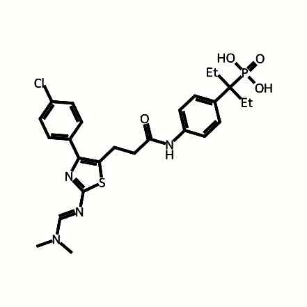 CCC(CC)(c1ccc(NC(=O)CCc2sc(N=CN(C)C)nc2-c2ccc(Cl)cc2)cc1)P(=O)(O)O